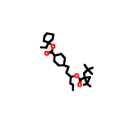 CCCC(CCC1CCC(C(=O)OC2(CC)CCCCC2)CC1)OC(=O)C1(CC(C)(C)C)CC1(C)C